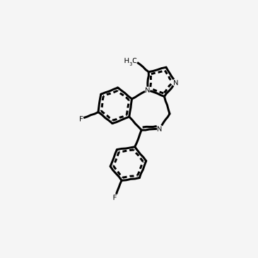 Cc1cnc2n1-c1ccc(F)cc1C(c1ccc(F)cc1)=NC2